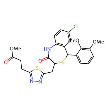 COC(=O)CCc1nnc(CC2SC(c3cccc(OC)c3OC)c3cc(Cl)ccc3NC2=O)s1